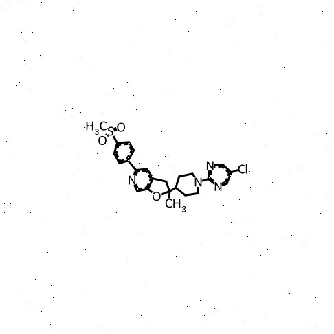 CC1(C2CCN(c3ncc(Cl)cn3)CC2)Cc2cc(-c3ccc(S(C)(=O)=O)cc3)ncc2O1